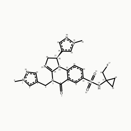 Cn1cc(CN2C(=O)c3cc(S(=O)(=O)NC4(CF)CC4)ccc3N3C2=NC[C@H]3c2cnn(C)c2)cn1